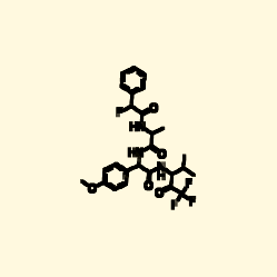 COc1ccc(C(NC(=O)C(C)NC(=O)C(F)c2ccccc2)C(=O)NC(C(=O)C(F)(F)F)C(C)C)cc1